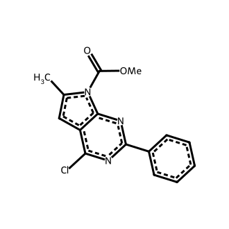 COC(=O)n1c(C)cc2c(Cl)nc(-c3ccccc3)nc21